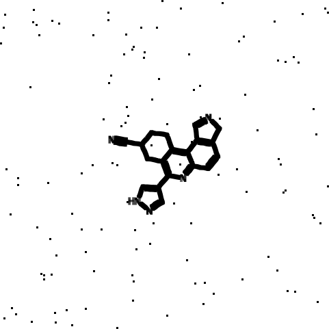 N#CC1CCc2c(c(-c3cn[nH]c3)nc3ccc4c(c23)C=NC4)C1